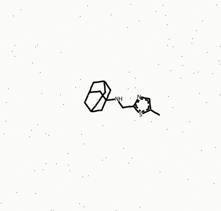 Cc1cnc(CNC23CC4CC(CC(C4)C2)C3)s1